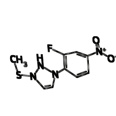 CSN1C=CN(c2ccc([N+](=O)[O-])cc2F)N1